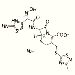 Cc1nsc(SCC2=C(C(=O)[O-])N3C(=O)C(NC(=O)/C(=N\O)c4csc(=N)[nH]4)[C@H]3SC2)n1.[Na+]